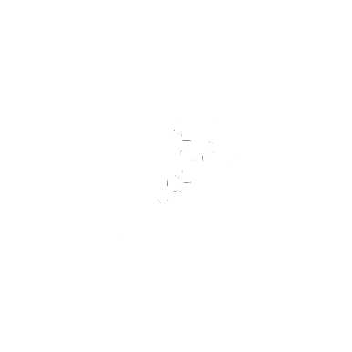 CCCCCOC(=O)Nc1ccn([C@@H]2O[C@H](OC(=O)[C@@H](N)C(C)CC)[C@@H](OC(=O)[C@@H](N)C(C)C)C2(F)F)c(=O)n1